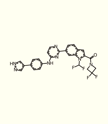 O=C(c1cc2ccc(-c3nccc(Nc4ccc(-c5cn[nH]c5)cc4)n3)cc2n1C(F)F)N1CC(F)(F)C1